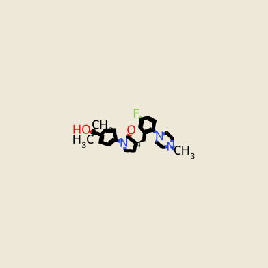 CN1CCN(c2ccc(F)cc2C[C@H]2CCN(c3ccc(C(C)(C)O)cc3)C2=O)CC1